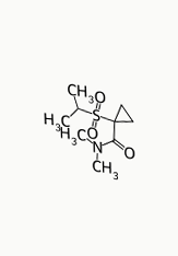 CC(C)S(=O)(=O)C1(C(=O)N(C)C)CC1